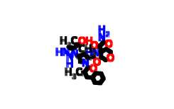 C[C@H](CC1CCCCC1)C(=O)N1C[C@@H](N2NNC=C2C(C)(C)O)C[C@H]1C(=O)NC1(C(=O)C(N)=O)CCOCC1